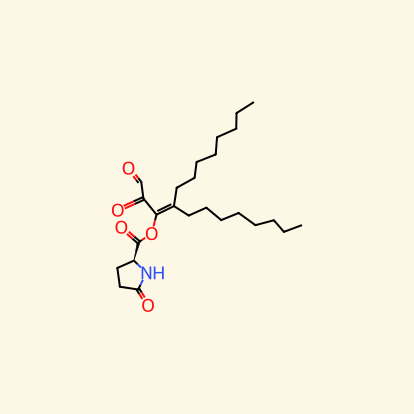 CCCCCCCCC(CCCCCCCC)=C(OC(=O)[C@@H]1CCC(=O)N1)C(=O)C=O